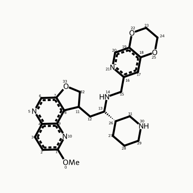 COc1ccc2ncc3c(c2n1)C(CC(NCc1cc2c(cn1)OCCO2)[C@H]1CCCNC1)CO3